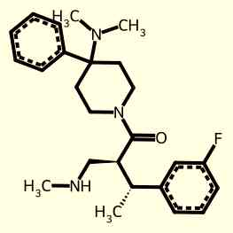 CNC[C@@H](C(=O)N1CCC(c2ccccc2)(N(C)C)CC1)[C@@H](C)c1cccc(F)c1